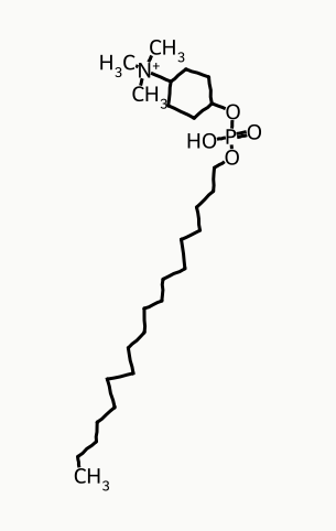 CCCCCCCCCCCCCCCCCCOP(=O)(O)OC1CCC([N+](C)(C)C)CC1